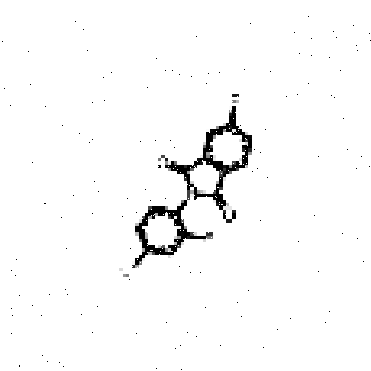 O=C1c2ccc(F)cc2C(=O)N1c1ccc(Cl)cc1F